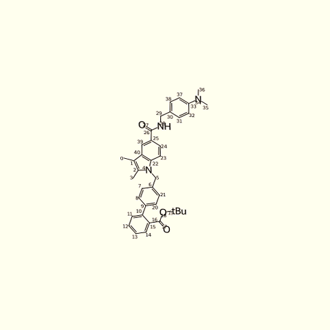 Cc1c(C)n(Cc2ccc(-c3ccccc3C(=O)OC(C)(C)C)cc2)c2ccc(C(=O)NCc3ccc(N(C)C)cc3)cc12